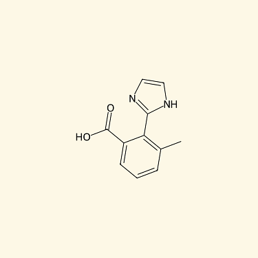 Cc1cccc(C(=O)O)c1-c1ncc[nH]1